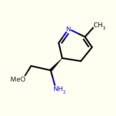 COCC(N)[C@H]1C=NC(C)=CC1